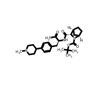 CN1CCC(c2ccc(C[C@H](NC(=O)[C@@H]3[C@H]4CC[C@H](C4)N3C(=O)OC(C)(C)C)C(N)=O)cc2)CC1